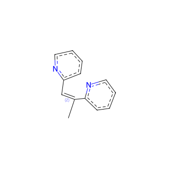 C/C(=C/c1ccccn1)c1ccccn1